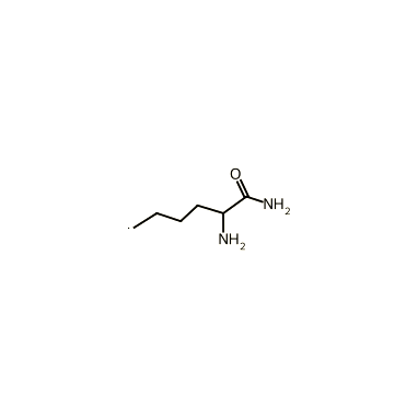 [CH2]CCCC(N)C(N)=O